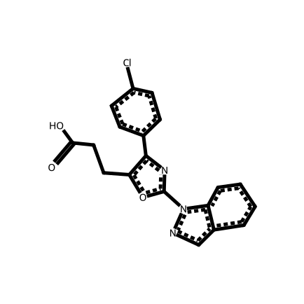 O=C(O)CCc1oc(-n2ncc3ccccc32)nc1-c1ccc(Cl)cc1